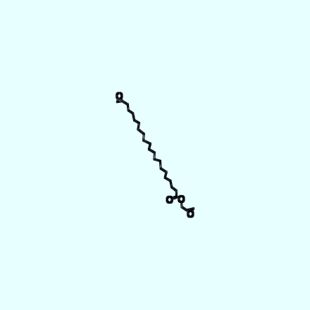 O=C(CCCCCCCCCCCCCCCCCCCC1CO1)OCC1CO1